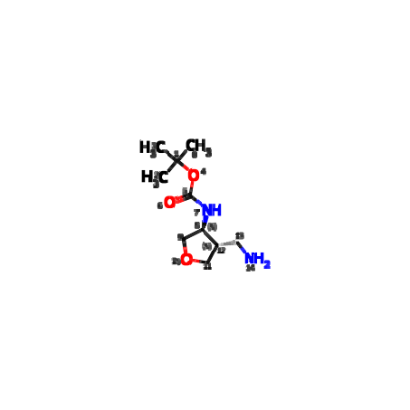 CC(C)(C)OC(=O)N[C@@H]1COC[C@H]1CN